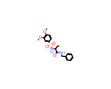 COc1ccc(S(=O)(=O)NC(CF)C(=O)NCc2ccccc2)cc1OC